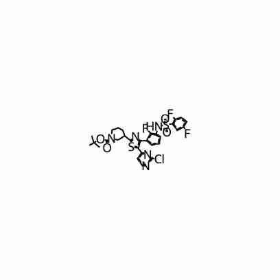 CC(C)(C)OC(=O)N1CCCC(c2nc(-c3cccc(NS(=O)(=O)c4cc(F)ccc4F)c3F)c(-c3ccnc(Cl)n3)s2)C1